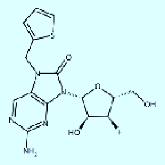 Nc1ncc2c(n1)n([C@@H]1O[C@H](CO)[C@@H](F)[C@H]1O)c(=O)n2Cc1cccs1